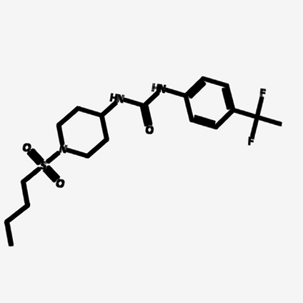 CCCCS(=O)(=O)N1CCC(NC(=O)Nc2ccc(C(C)(F)F)cc2)CC1